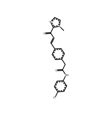 Cn1ccnc1C(=O)/C=C/c1ccc(CC(=O)Nc2ccc(Cl)cc2)cc1